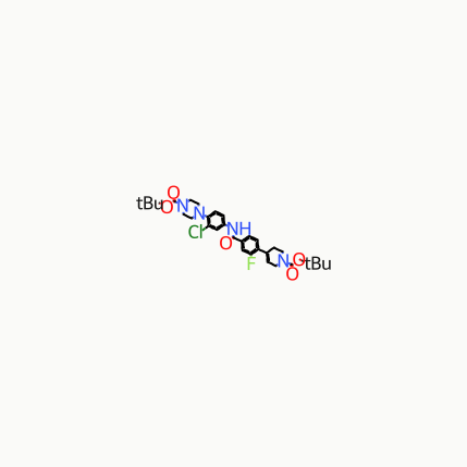 CC(C)(C)OC(=O)N1CC=C(c2ccc(C(=O)Nc3ccc(N4CCN(C(=O)OC(C)(C)C)CC4)c(Cl)c3)cc2F)CC1